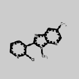 Cc1cnc2c(c1)nc(-c1cccnc1Cl)n2C